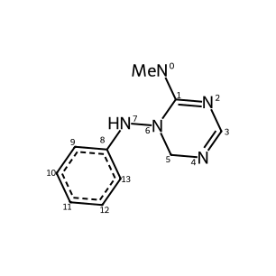 CNC1=NC=NCN1Nc1ccccc1